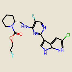 O=C(OCCF)N1CCCC[C@@H]1CNc1nc(C2=CNC3NC=C(Cl)C=C23)ncc1F